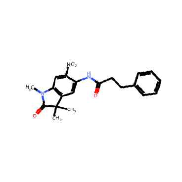 CN1C(=O)C(C)(C)c2cc(NC(=O)CCc3ccccc3)c([N+](=O)[O-])cc21